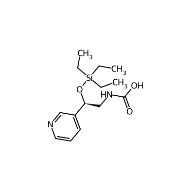 CC[Si](CC)(CC)O[C@@H](CNC(=O)O)c1cccnc1